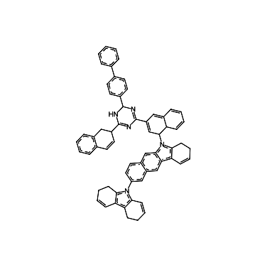 C1=CC2=CC(C3=NC(c4ccc(-c5ccccc5)cc4)NC(C4C=Cc5ccccc5C4)=N3)=CC(n3c4c(c5cc6cc(-n7c8c(c9c7CCC=C9)CCC=C8)ccc6cc53)C=CCC4)C2C=C1